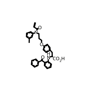 C=CC(=O)N(CCCOc1ccc(CC(Nc2ccccc2C(=O)c2ccccc2)C(=O)O)cc1)c1cccc(C)c1